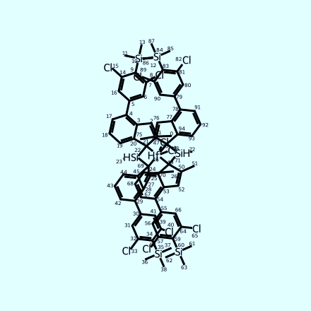 CC1=Cc2c(-c3cc(Cl)c([Si](C)(C)C)c(Cl)c3)cccc2[C]12[SiH](C)[C]1(C(C)=Cc3c(-c4cc(Cl)c([Si](C)(C)C)c(Cl)c4)cccc31)[Hf]21([Cl])([Cl])[C]2(C(C)=Cc3c(-c4cc(Cl)c([Si](C)(C)C)c(Cl)c4)cccc32)[SiH](C)[C]12C(C)=Cc1c(-c3cc(Cl)c([Si](C)(C)C)c(Cl)c3)cccc12